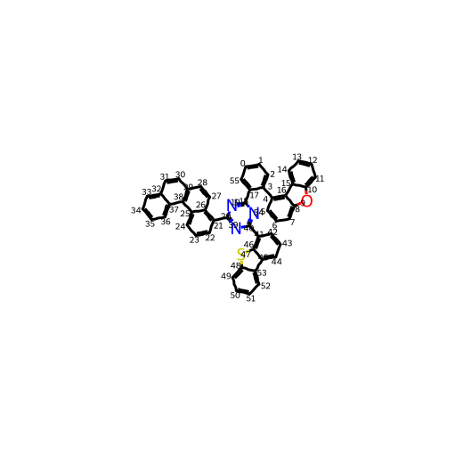 c1ccc(-c2cccc3oc4ccccc4c23)c(-c2nc(-c3cccc4c3ccc3ccc5ccccc5c34)nc(-c3cccc4c3sc3ccccc34)n2)c1